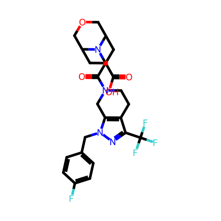 O=C(O)C1CC2COCC(C1)N2CC(=O)N1CCc2c(C(F)(F)F)nn(Cc3ccc(F)cc3)c2C1